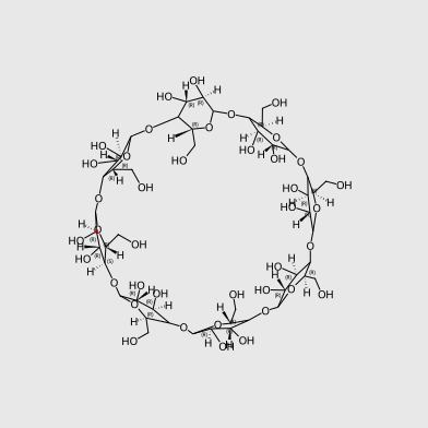 OC[C@H]1OC2OC3[C@@H](CO)OC(OC4[C@@H](CO)OC(OC5[C@@H](CO)OC(OC6[C@@H](CO)OC(OC7[C@@H](CO)OC(OC8[C@@H](CO)OC(O[C@H]9[C@H](O)[C@@H](O)C(OC1[C@H](O)[C@H]2O)O[C@@H]9CO)[C@H](O)[C@H]8O)[C@H](O)[C@H]7O)[C@H](O)[C@H]6O)[C@H](O)[C@H]5O)[C@H](O)[C@H]4O)[C@H](O)[C@H]3O